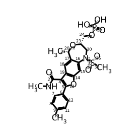 CNC(=O)c1c(-c2ccc(C)cc2)oc2cc3c(cc12)[C@H](C)O[C@H](COP(=O)(O)O)CN3S(C)(=O)=O